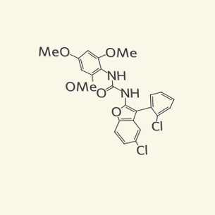 COc1cc(OC)c(NC(=O)Nc2oc3ccc(Cl)cc3c2-c2ccccc2Cl)c(OC)c1